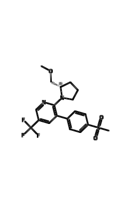 COC[C@@H]1CCCN1c1ncc(C(F)(F)F)cc1-c1ccc(S(C)(=O)=O)cc1